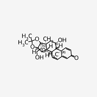 CC1(C)O[C@@H]2C[C@H]3[C@@H]4C=CC5=CC(=O)C=C[C@]5(C)[C@H]4[C@@H](O)C[C@]3(C)[C@]2(C(=O)CO)O1